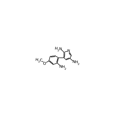 COc1ccc(-c2cc(N)cnc2N)c(N)c1